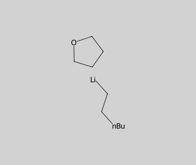 C1CCOC1.[Li][CH2]CCCCC